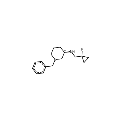 FC1(CN[C@@H]2CCCN(Cc3ccccc3)C2)CC1